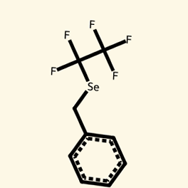 FC(F)(F)C(F)(F)[Se]Cc1ccccc1